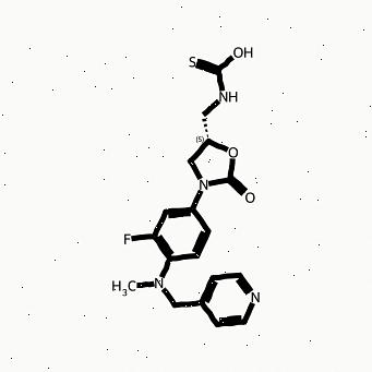 CN(Cc1ccncc1)c1ccc(N2C[C@H](CNC(O)=S)OC2=O)cc1F